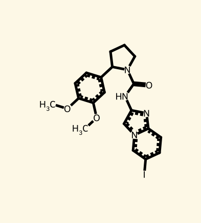 COc1ccc(C2CCCN2C(=O)Nc2cn3cc(I)ccc3n2)cc1OC